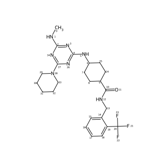 CNc1nc(NC2CCC(C(=O)NCc3ccccc3C(F)(F)F)CC2)nc(N2CCCCC2)n1